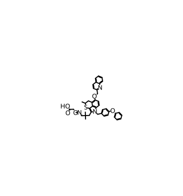 CC1Cc2c(OCc3ccc4ccccc4n3)ccc3c2c(c(CC(C)(C)C=NOCC(=O)O)n3Cc2ccc(Oc3ccccc3)cc2)S1